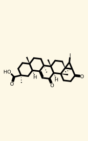 C[C@]1(C(=O)O)CC[C@]2(C)CC[C@]3(C)C(=CC(=O)[C@@H]4[C@@]5(C)CCC(=O)[C@]6(C)C(I)[C@]65CC[C@]43C)[C@H]2C1